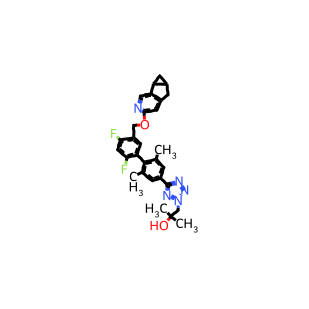 Cc1cc(-c2nnn(CC(C)(C)O)n2)cc(C)c1-c1cc(COc2cc3c(cn2)C2CC2C3)c(F)cc1F